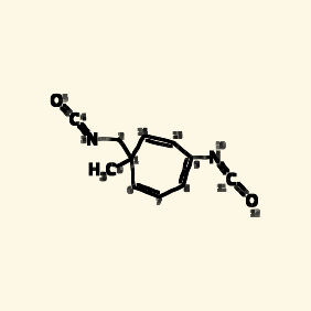 CC1(CN=C=O)C=CC=C(N=C=O)C=C1